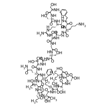 CC[C@H](C)[C@H](NC(=O)[C@@H](NC(=O)[C@H](CC(C)C)NC(=O)[C@@H](NC(=O)[C@H](Cc1ccccc1)NC(=O)[C@H](CCC(N)=O)NC(=O)[C@@H](NC(=O)CNC(=O)[C@H](CO)NC(=O)CNC(=O)[C@H](CO)NC(=O)CNC(=O)[C@H](CCCCN)NC(=O)[C@H](Cc1ccccc1)NC(=O)[C@H](CCCNC(=N)N)NC(=O)[C@H](CO)NC(=O)[C@@H](N)CO)[C@@H](C)O)[C@@H](C)O)[C@@H](C)O)C(=O)N[C@@H](CO)C(=O)N[C@@H](CC(=O)O)C(=O)N[C@H](C(=O)O)C(C)C